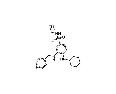 CCNS(=O)(=O)c1ccc(NC2CCCCC2)c(NCc2ccncc2)c1